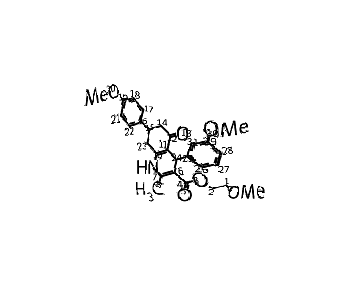 COCCOC(=O)C1=C(C)NC2=C(C(=O)CC(c3ccc(OC)cc3)C2)C1c1cccc(OC)c1